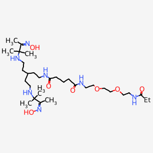 CCC(=O)NCCOCCOCCNC(=O)CCCC(=O)NCCC(CCNC(C)(C)/C(C)=N\O)CCNC(C)(C)/C(C)=N\O